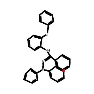 c1ccc(Sc2ccccc2NC(=NP(c2ccccc2)c2ccccc2)c2ccccc2)cc1